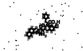 O=C(O)[C@@H](Cc1cccnc1)NC(=O)[C@@H](Cc1ccc(Cl)cc1)NC(=O)[C@@H](Cc1ccc2ccccc2c1)NP